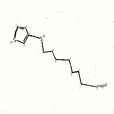 CCCCCCCCCCCCCCSc1ccsc1